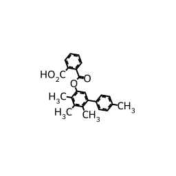 Cc1ccc(-c2cc(OC(=O)c3ccccc3C(=O)O)c(C)c(C)c2C)cc1